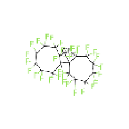 FC(F)(F)C(F)(F)C1(C2(F)C(F)(F)C(F)(F)C(F)(F)C(F)(F)C(F)(F)C(F)(F)C2(F)F)C(F)(F)C(F)(F)C(F)(F)C(F)(F)C(F)(F)C(F)(F)C1(F)F